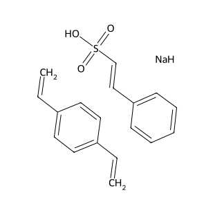 C=Cc1ccc(C=C)cc1.O=S(=O)(O)C=Cc1ccccc1.[NaH]